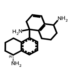 NC1CCCC2=C1C=CCC2(N)c1cccc2c1CCC[C@H]2N